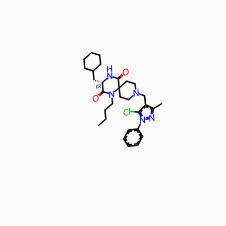 CCCCN1C(=O)[C@H](CC2CCCCC2)NC(=O)C12CCN(Cc1c(C)nn(-c3ccccc3)c1Cl)CC2